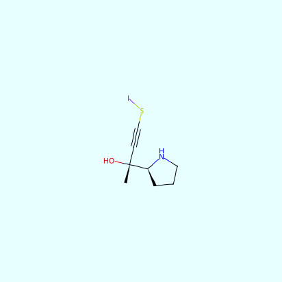 C[C@@](O)(C#CSI)[C@@H]1CCCN1